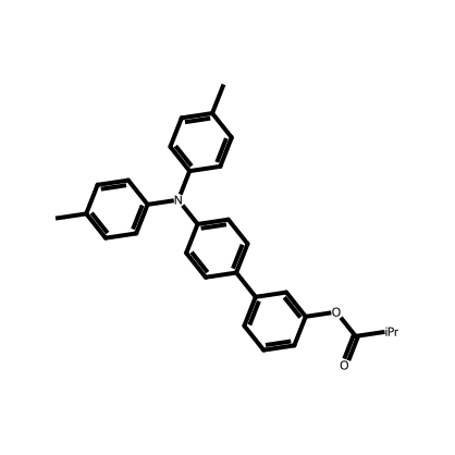 Cc1ccc(N(c2ccc(C)cc2)c2ccc(-c3cccc(OC(=O)C(C)C)c3)cc2)cc1